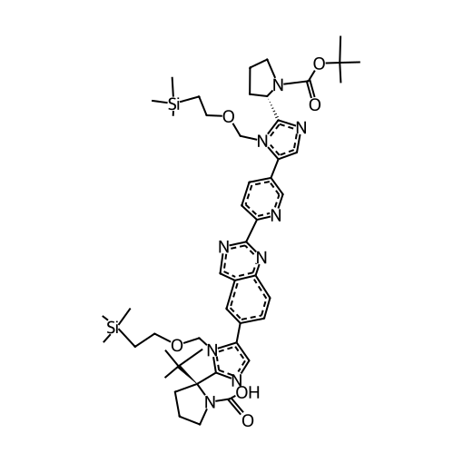 CC(C)(C)OC(=O)N1CCC[C@H]1c1ncc(-c2ccc(-c3ncc4cc(-c5cnc([C@@]6(C(C)(C)C)CCCN6C(=O)O)n5COCC[Si](C)(C)C)ccc4n3)nc2)n1COCC[Si](C)(C)C